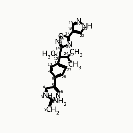 C=C(N)/N=C\C(=C/N)c1ccc([C@@](C)(c2noc(-c3cn[nH]c3)n2)C(C)C)cc1